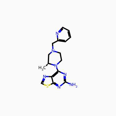 C[C@H]1CN(Cc2ccccn2)CCN1c1nc(N)nc2scnc12